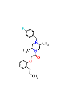 CCCc1ccccc1OCC(=O)N1CC(C)N(Cc2ccc(F)cc2)CC1C